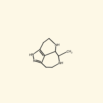 CC1NCCc2n[nH]c3c2C1NCC3